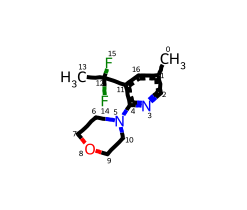 Cc1cnc(N2CCOCC2)c(C(C)(F)F)c1